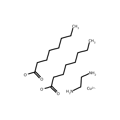 CCCCCCCC(=O)[O-].CCCCCCCC(=O)[O-].NCCN.[Cu+2]